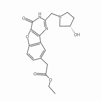 CCOC(=O)Cc1ccc2oc3c(=O)[nH]c(CN4CC[C@H](O)C4)nc3c2c1